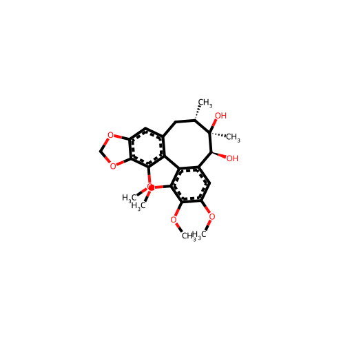 COc1cc2c(c(OC)c1OC)-c1c(cc3c(c1OC)OCO3)C[C@H](C)[C@@](C)(O)[C@H]2O